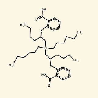 CCCCCC[N+](CCCCCC)(CC(CCCC)Sc1ccccc1C(=O)O)CC(CCCC)Sc1ccccc1C(=O)O